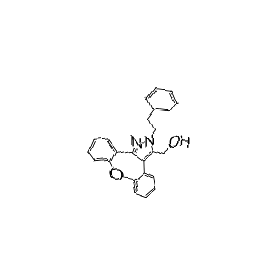 OCc1c2c(nn1CCc1ccccc1)-c1ccccc1Oc1ccccc1-2